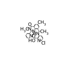 Cc1cc(C(C)Nc2ccc(Cl)nc2C(=O)O)c2nc(-c3ccccn3)n(C)c(=O)c2c1